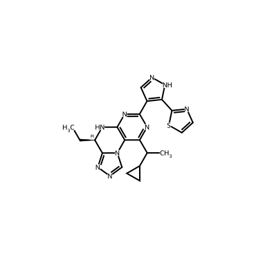 CC[C@H]1Nc2nc(-c3cn[nH]c3-c3nccs3)nc(C(C)C3CC3)c2-n2cnnc21